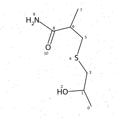 CC(O)CSCC(C)C(N)=O